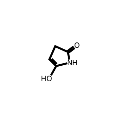 O=C1CC=C(O)N1